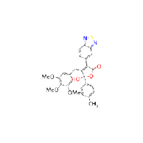 COc1cc(CC2=C(c3ccc4nsnc4c3)C(=O)OC2(O)c2ccc(C)cc2)cc(OC)c1OC